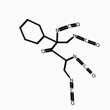 O=C=NCC(N=C=O)C(=O)C(CN=C=O)(N=C=O)C1CCCCC1